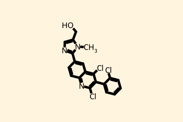 Cn1c(CO)cnc1-c1ccc2nc(Cl)c(-c3ccccc3Cl)c(Cl)c2c1